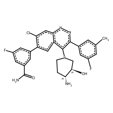 Cc1cc(F)cc(-c2nnc3cc(Cl)c(-c4cc(F)cc(C(N)=O)c4)cc3c2N2CC[C@@H](N)[C@H](O)C2)c1